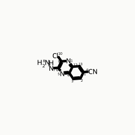 N#Cc1ccc2nc(NN)c(Cl)nc2c1